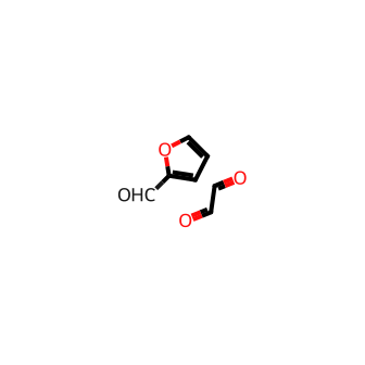 O=CC=O.O=Cc1ccco1